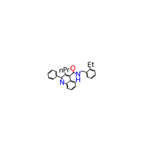 CCCc1c(-c2ccccc2)nc2ccccc2c1C(=O)NCc1ccccc1CC